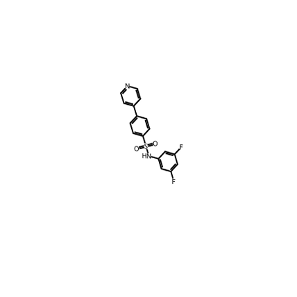 O=S(=O)(Nc1cc(F)cc(F)c1)c1ccc(-c2ccncc2)cc1